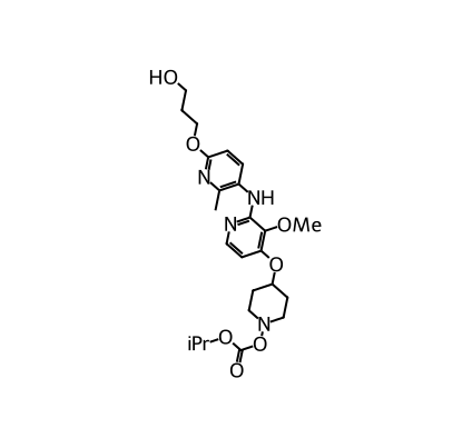 COc1c(OC2CCN(OC(=O)OC(C)C)CC2)ccnc1Nc1ccc(OCCCO)nc1C